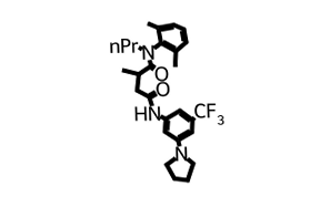 CCCN(C(=O)C(C)CC(=O)Nc1cc(N2CCCC2)cc(C(F)(F)F)c1)c1c(C)cccc1C